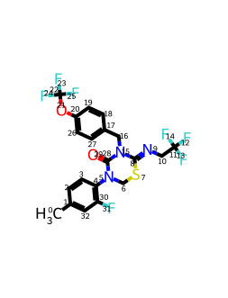 Cc1ccc(N2CSC(=NCC(F)(F)F)N(Cc3ccc(OC(F)(F)F)cc3)C2=O)c(F)c1